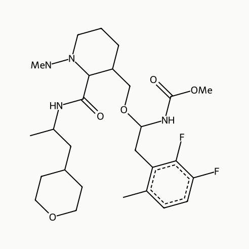 CNN1CCCC(COC(Cc2c(C)ccc(F)c2F)NC(=O)OC)C1C(=O)NC(C)CC1CCOCC1